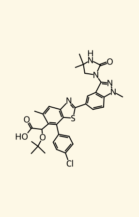 Cc1cc2nc(-c3ccc4c(c3)c(N3CC(C)(C)NC3=O)nn4C)sc2c(-c2ccc(Cl)cc2)c1C(OC(C)(C)C)C(=O)O